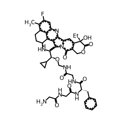 CC[C@@]1(O)C(=O)OCc2c1cc1c3nc4cc(F)c(C)c5c4c4c3c(n1c2=O)=C([C@@H](OCNC(=O)CNC(=O)[C@H](Cc1ccccc1)NC(=O)CNC(=O)CN)C1CC1)N[C@H]4CC5